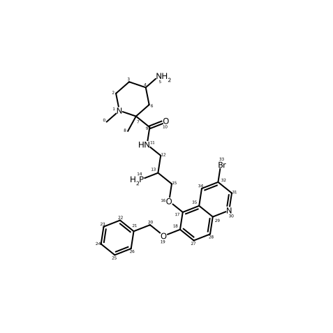 CN1CCC(N)CC1(C)C(=O)NCC(P)COc1c(OCc2ccccc2)ccc2ncc(Br)cc12